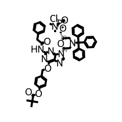 CN(C)P(=O)(Cl)OC[C@@H]1CN(C(c2ccccc2)(c2ccccc2)c2ccccc2)C[C@H](n2cnc3c(OCc4ccc(OC(=O)C(C)(C)C)cc4)nc(NC(=O)Cc4ccccc4)nc32)O1